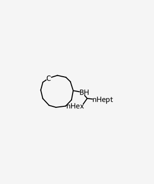 CCCCCCCC(BC1CCCCCCCCCCC1)CCCCCC